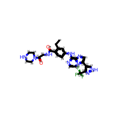 CCc1cc(Nc2nccn3c(-c4c[nH]nc4C(F)(F)F)cnc23)ccc1C(=O)NCC(=O)N1CCNCC1